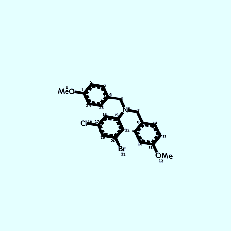 COc1ccc(CN(Cc2ccc(OC)cc2)c2cc(Cl)cc(Br)c2)cc1